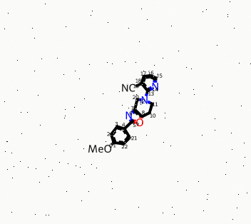 COc1ccc(-c2nc3c(o2)CCN(c2ncccc2C#N)C3)cc1